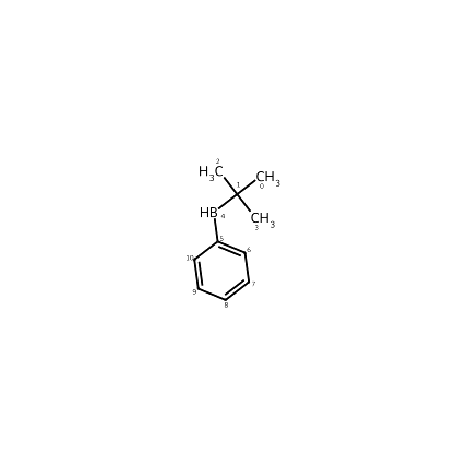 CC(C)(C)Bc1ccccc1